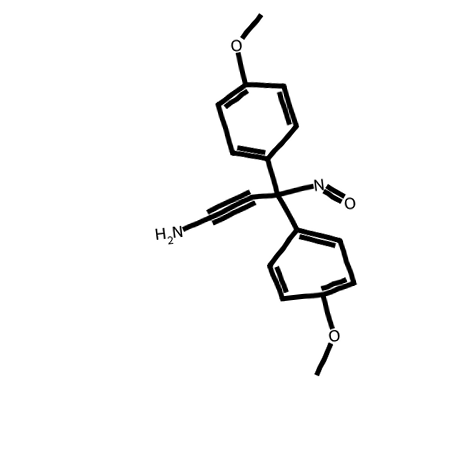 COc1ccc(C(C#CN)(N=O)c2ccc(OC)cc2)cc1